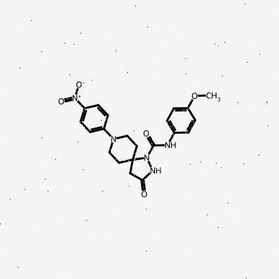 COc1ccc(NC(=O)N2NC(=O)CC23CCN(c2ccc([N+](=O)[O-])cc2)CC3)cc1